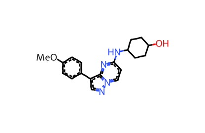 COc1ccc(-c2cnn3ccc(NC4CCC(O)CC4)nc23)cc1